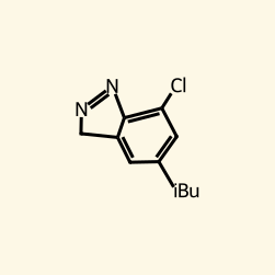 CCC(C)c1cc(Cl)c2c(c1)CN=N2